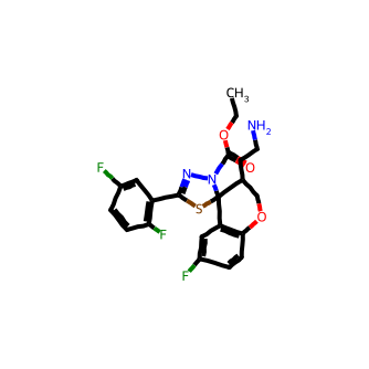 CCOC(=O)N1N=C(c2cc(F)ccc2F)SC12c1cc(F)ccc1OCC2CCN